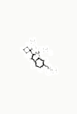 Cn1c(C2(O)CCC2)cc2ccc(CO)cc21